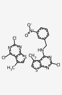 Cc1csc2nc(Cl)nc(Cl)c12.Cc1csc2nc(Cl)nc(NCc3cccc([N+](=O)[O-])c3)c12